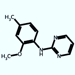 COc1cc(C)ccc1Nc1ncccn1